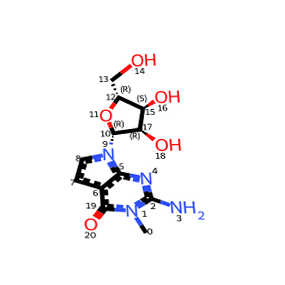 Cn1c(N)nc2c(ccn2[C@@H]2O[C@H](CO)[C@@H](O)[C@H]2O)c1=O